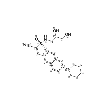 N#C/C(=C/c1ccc2cc(N3CCCCC3)ccc2c1)S(=O)(=O)NCC(O)CO